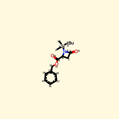 CC(C)(C)[Si](C)(C)N1C(=O)CC1C(=O)OCc1ccccc1